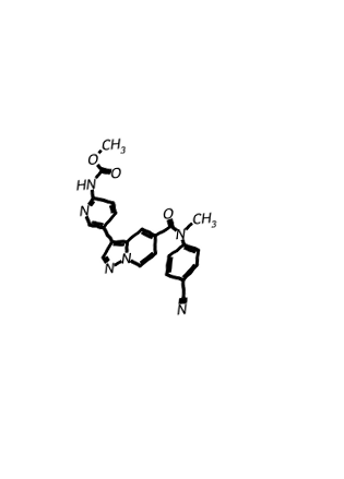 COC(=O)Nc1ccc(-c2cnn3ccc(C(=O)N(C)c4ccc(C#N)cc4)cc23)cn1